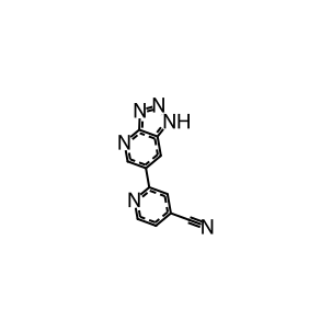 N#Cc1ccnc(-c2cnc3nn[nH]c3c2)c1